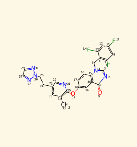 O=c1ncn(Cc2c(F)cc(F)cc2F)c2ccc(Oc3ncc(CCn4nccn4)cc3C(F)(F)F)cc12